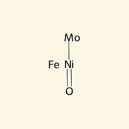 [Fe].[O]=[Ni][Mo]